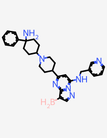 Bc1cnn2c(NCc3cccnc3)cc(C3CCN(C4CCC(N)(c5ccccc5)CC4)CC3)nc12